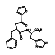 O=C(CC(Cc1ccccc1)C(=O)N[C@@H](Cc1c[nH]cn1)C(=O)O)c1ccco1